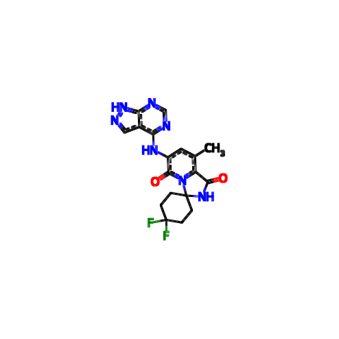 Cc1cc(Nc2ncnc3[nH]ncc23)c(=O)n2c1C(=O)NC21CCC(F)(F)CC1